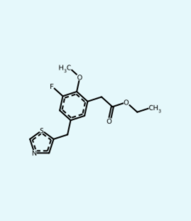 CCOC(=O)Cc1cc(Cc2cncs2)cc(F)c1OC